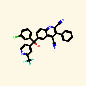 N#Cc1nc2ccc(C(O)(c3cccc(Cl)c3)c3ccnc(C(F)(F)F)c3)cc2c(C#N)c1-c1ccccc1